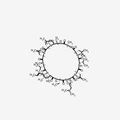 C/C=C/C[C@@H](C)[C@@H](O)[C@H]1C(=O)N[C@@H](CC)C(=O)N(C)[C@H](OCCN(C)C)C(=O)N(C)[C@@H](CC(C)C)C(=O)N[C@@H](C(C)C)C(=O)N(C)[C@@H](CC(C)C)C(=O)N[C@@H](C)C(=O)N[C@H](C)C(O)N(C)[C@@H](CC(C)C)C(=O)N(C)[C@@H](CC(C)C)C(=O)N(C)[C@@H](C(C)C)C(=O)N1C